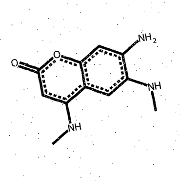 CNc1cc2c(NC)cc(=O)oc2cc1N